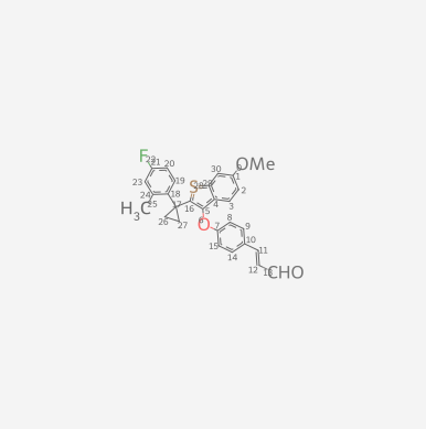 COc1ccc2c(Oc3ccc(/C=C/C=O)cc3)c(C3(c4ccc(F)cc4C)CC3)sc2c1